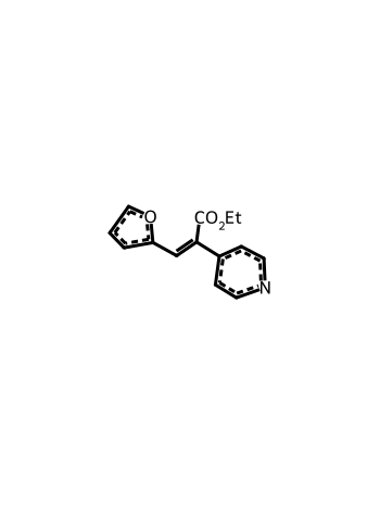 CCOC(=O)C(=Cc1ccco1)c1ccncc1